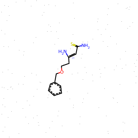 NC(=S)/C=C(\N)CCOCc1ccccc1